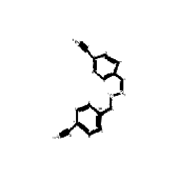 N#Cc1ccc(/[C]=N\OCc2ccc(C#N)cc2)cc1